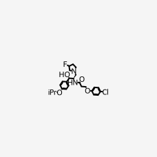 CC(C)Oc1ccc([C@@H](O)[C@@H](CN2CCC(F)C2)NC(=O)CCOc2ccc(Cl)cc2)cc1